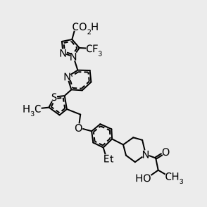 CCc1cc(OCc2cc(C)sc2-c2cccc(-n3ncc(C(=O)O)c3C(F)(F)F)n2)ccc1C1CCN(C(=O)C(C)O)CC1